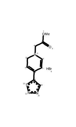 Br.COC(=O)CN1C=CC(c2cnns2)=CC1